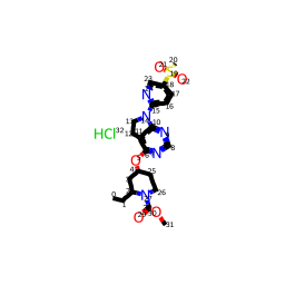 CCC1CC(Oc2ncnc3c2CCN3c2ccc(S(C)(=O)=O)cn2)CCN1C(=O)OC.Cl